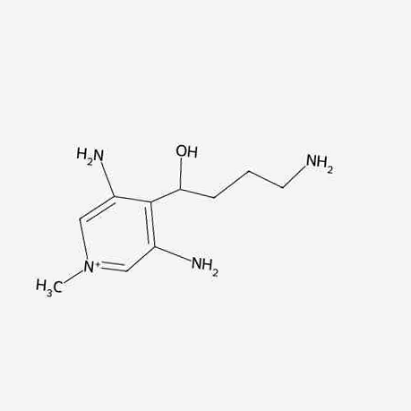 C[n+]1cc(N)c(C(O)CCCN)c(N)c1